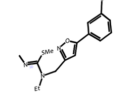 CCN(Cc1cc(-c2cccc(Cl)c2)on1)/C(=N/C)SC